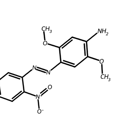 COc1cc(N=Nc2ccccc2[N+](=O)[O-])c(OC)cc1N